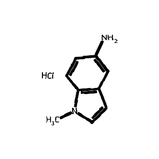 Cl.Cn1ccc2cc(N)ccc21